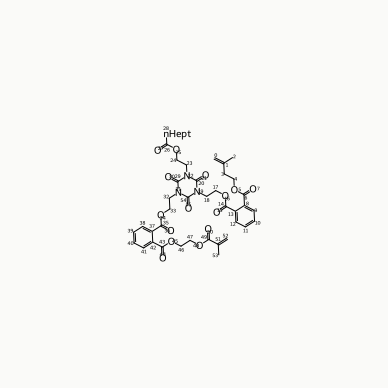 C=C(C)CCOC(=O)c1ccccc1C(=O)OCCn1c(=O)n(CCOC(=O)CCCCCCC)c(=O)n(CCOC(=O)c2ccccc2C(=O)OCCOC(=O)C(=C)C)c1=O